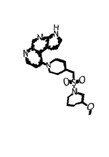 COC1CCCN(S(=O)(=O)CC2CCN(c3ccnc4cnc5[nH]ccc5c34)CC2)C1